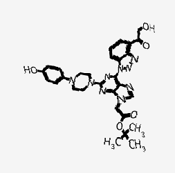 CC(C)(C)OC(=O)Cn1cnc2c(-n3nnc4c(C(=O)CO)cccc43)nc(N3CCN(c4ccc(O)cc4)CC3)nc21